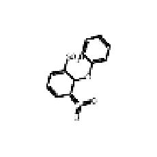 O=S(=O)=C1C=CC=C(S(=O)(=O)O)C1Oc1ccccc1